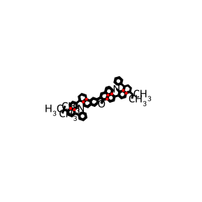 CC(C)C1=CC=C(c2ccccc2N(c2c#cc3cc4c(cc3c2)oc2cc3cc(N(c5ccccc5C5=CC=CCC5)c5ccccc5-c5ccc(C(C)(C)C)cc5)c#cc3cc24)c2ccccc2-c2ccccc2)CC1